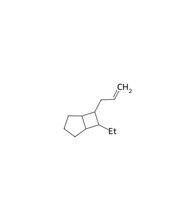 C=CCC1C(CC)C2CCCC12